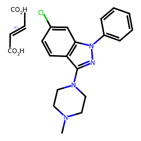 CN1CCN(c2nn(-c3ccccc3)c3cc(Cl)ccc23)CC1.O=C(O)/C=C/C(=O)O